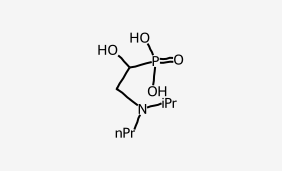 [CH2]CCN(CC(O)P(=O)(O)O)C(C)C